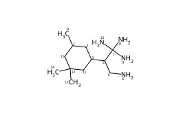 CC1CC(C(CN)C(N)(N)N)CC(C)(C)C1